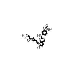 C=CC(=O)N1CC(CCn2c(=O)ccc3cnc(Nc4ccc5[nH]c(=O)oc5c4)nc32)C1